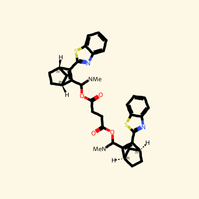 CNC(OC(=O)CCC(=O)OC(NC)C1=C(c2nc3ccccc3s2)[C@H]2CC[C@@H]1C2)C1=C(c2nc3ccccc3s2)[C@H]2CC[C@@H]1C2